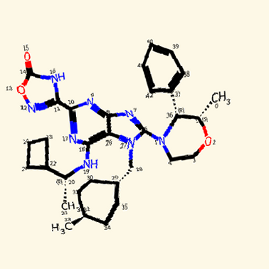 C[C@@H]1OCCN(c2nc3nc(-c4noc(=O)[nH]4)nc(N[C@H](C)C4CCC4)c3n2C[C@H]2CC[C@H](C)CC2)[C@@H]1c1ccccc1